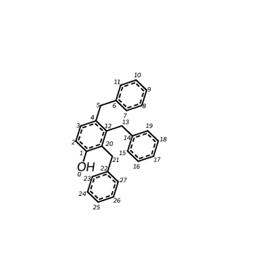 Oc1ccc(Cc2ccccc2)c(Cc2ccccc2)c1Cc1ccccc1